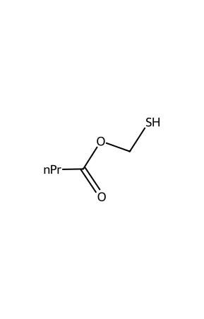 CCCC(=O)OCS